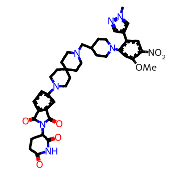 COc1cc(N2CCC(CN3CCC4(CC3)CCN(c3ccc5c(c3)C(=O)N(C3CCC(=O)NC3=O)C5=O)CC4)CC2)c(-c2cnn(C)c2)cc1[N+](=O)[O-]